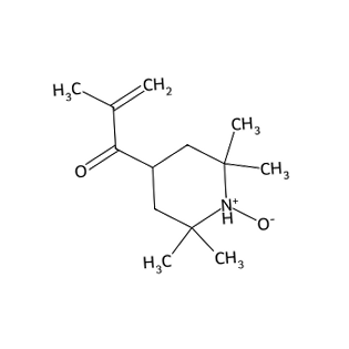 C=C(C)C(=O)C1CC(C)(C)[NH+]([O-])C(C)(C)C1